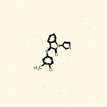 Cc1cc(/N=C2\C(=O)N(C3C=CSC3)c3ccccc32)ccc1Cl